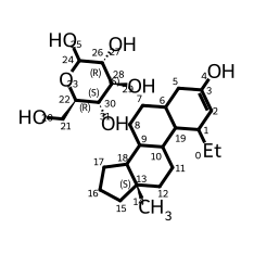 CCC1C=C(O)CC2CCC3C(CC[C@]4(C)CCCC34)C12.OC[C@H]1OC(O)[C@H](O)[C@@H](O)[C@@H]1O